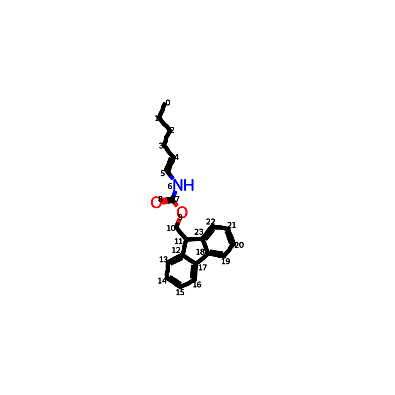 CCCCC=CNC(=O)OCC1c2ccccc2-c2ccccc21